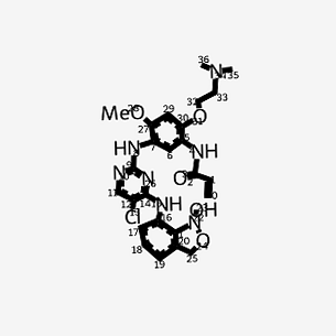 C=CC(=O)Nc1cc(Nc2ncc(Cl)c(Nc3cccc4c3N(O)OC4)n2)c(OC)cc1OCCN(C)C